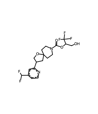 O=C(OC(CO)C(F)(F)F)N1CCC2(CC1)CC(c1cc(C(F)F)ccn1)CO2